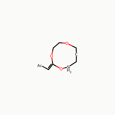 CC(=O)C=C1OCCOCCC[SiH2]O1